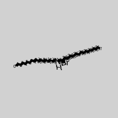 CCCCCCCCCCCCCCCCCCNCC(Br)CCCCCCCCCCCCCCCC